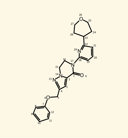 O=C1c2cc(COc3ccccc3)nn2CCN1c1cccc(C2CCOCC2)n1